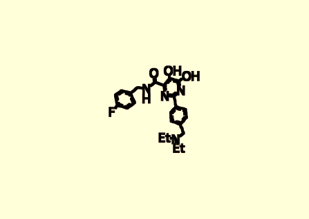 CCN(CC)Cc1ccc(-c2nc(O)c(O)c(C(=O)NCc3ccc(F)cc3)n2)cc1